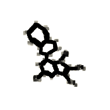 CCn1c(C)c(C)c2cc(Cl)nc(N3CCc4ccccc4C3)c21